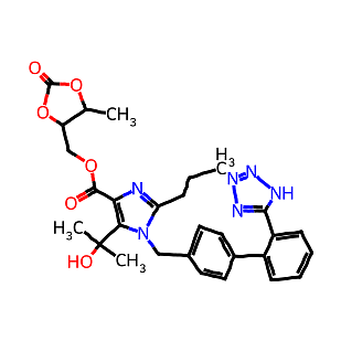 CCCc1nc(C(=O)OCC2OC(=O)OC2C)c(C(C)(C)O)n1Cc1ccc(-c2ccccc2-c2nnn[nH]2)cc1